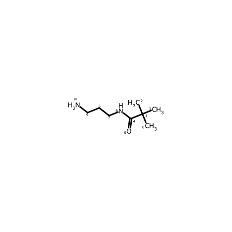 CC(C)(C)C(=O)NCCCN